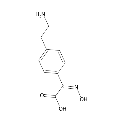 NCCc1ccc(C(=NO)C(=O)O)cc1